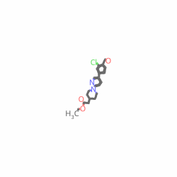 CCOC(=O)CC1CCN(c2ccc(-c3ccc(C=O)c(Cl)c3)cn2)CC1